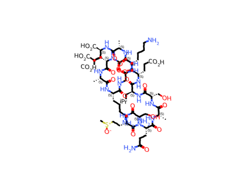 CC(C)C[C@H](NC(=O)[C@H](CO)NC(=O)[C@H](C)NC(=O)[C@H](CCC(N)=O)NC(=O)[C@H](CC[S+](C)[O-])NC(=O)[C@@H](N)CO)C(=O)N[C@@H](CCC(=O)O)C(=O)N[C@@H](C)C(=O)N[C@@H](CCC(=O)O)C(=O)N[C@@H](C)C(=O)N[C@@H](CCCCN)C(=O)NCC(=O)N[C@@H](CCCCN)C(=O)N[C@@H](C)C(=O)N[C@@H](CCC(=O)O)C(=O)O